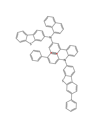 c1ccc(-c2ccc(N(c3ccc4c(c3)sc3cc(-c5ccccc5)ccc34)c3ccccc3-c3cccc(N(c4ccc5c(c4)sc4ccccc45)c4cccc5ccccc45)c3)cc2)cc1